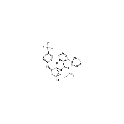 CC[C@@H]1[C@H]2C[C@@H](Nc3cnc(C(F)(F)F)cn3)[C@H](C2)N1C(=O)c1ccccc1-c1ncccn1